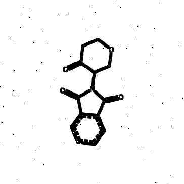 O=C1CCOCC1N1C(=O)c2ccccc2C1=O